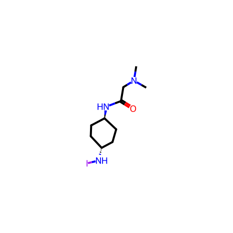 CN(C)CC(=O)N[C@H]1CC[C@H](NI)CC1